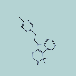 Cc1ccc(CCn2c3c(c4ccccc42)C(C)(C)NCC3)cn1